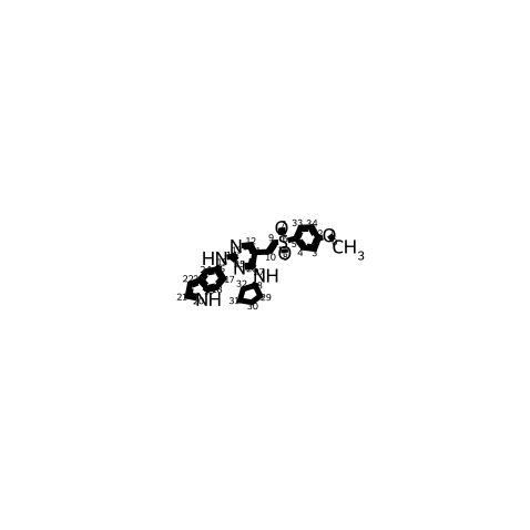 COc1ccc(S(=O)(=O)/C=C/c2cnc(Nc3ccc4[nH]ccc4c3)nc2NC2CCCC2)cc1